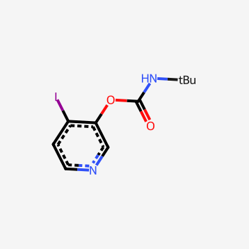 CC(C)(C)NC(=O)Oc1cnccc1I